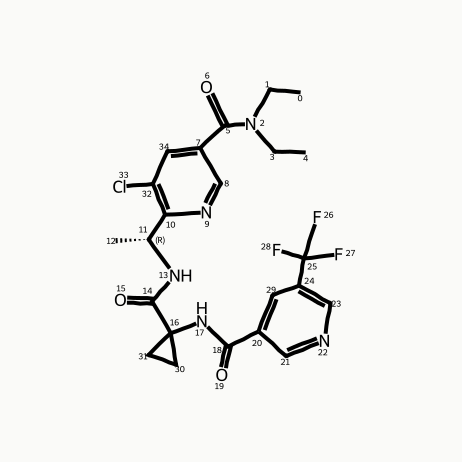 CCN(CC)C(=O)c1cnc([C@@H](C)NC(=O)C2(NC(=O)c3cncc(C(F)(F)F)c3)CC2)c(Cl)c1